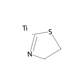 [C]1=NCCS1.[Ti]